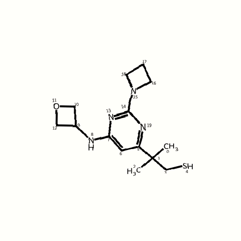 CC(C)(CS)c1cc(NC2COC2)nc(N2CCC2)n1